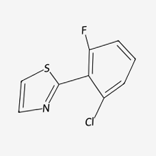 Fc1cccc(Cl)c1-c1nccs1